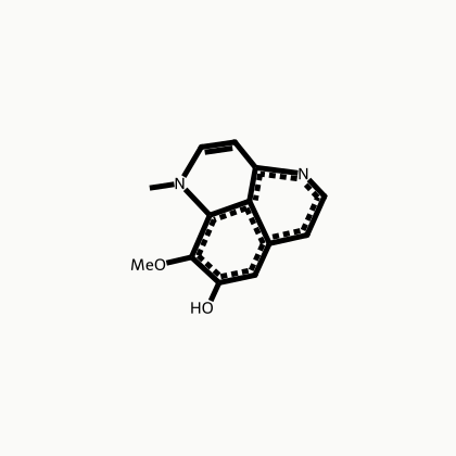 COc1c(O)cc2ccnc3c2c1N(C)C=C3